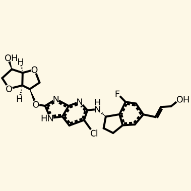 OC/C=C/c1cc(F)c2c(c1)CC[C@@H]2Nc1nc2nc(O[C@@H]3CO[C@H]4[C@@H]3OC[C@H]4O)[nH]c2cc1Cl